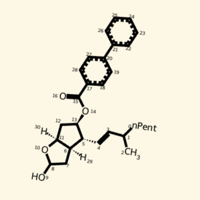 CCCCCC(C)/C=C/[C@@H]1[C@H]2CC(O)O[C@H]2C[C@H]1OC(=O)c1ccc(-c2ccccc2)cc1